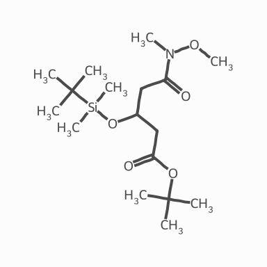 CON(C)C(=O)CC(CC(=O)OC(C)(C)C)O[Si](C)(C)C(C)(C)C